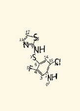 CNc1cc(F)c(SNc2nccs2)cc1Cl